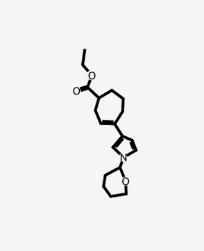 CCOC(=O)C1CC=C(c2ccn(C3CCCCO3)c2)CCC1